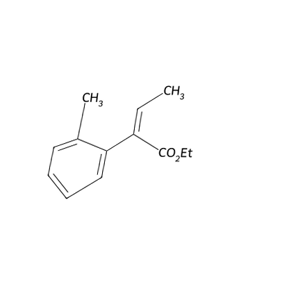 CC=C(C(=O)OCC)c1ccccc1C